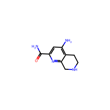 NC(=O)c1cc(N)c2c(n1)CNCC2